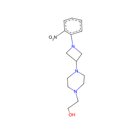 O=[N+]([O-])c1ccccc1N1CC(N2CCN(CCO)CC2)C1